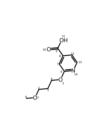 COCCCOc1cc(C(=O)O)ccn1